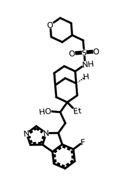 CCC1(C(O)CC2c3c(F)cccc3-c3cncn32)CC2CCC(NS(=O)(=O)CC3CCOCC3)[C@H](C2)C1